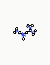 c1ccc(-c2nc(-c3ccc(-c4cc(-n5c6ccccc6c6ccccc65)cc(-n5c6ccccc6c6ccccc65)c4)cc3)nc(-c3ccc(-n4c5ccccc5c5ccccc54)cc3)n2)cc1